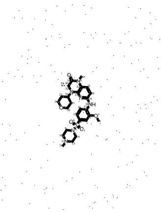 COc1cc(S(=O)(=O)N2CCN(C)CC2)ccc1Nc1ccc2c(n1)N(C1CCOCC1)[C@H](C)C(=O)N2C